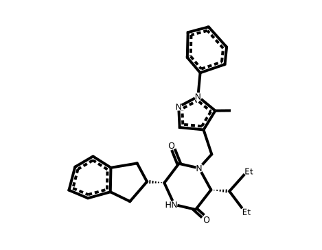 CCC(CC)[C@@H]1C(=O)N[C@H](C2Cc3ccccc3C2)C(=O)N1Cc1cnn(-c2ccccc2)c1C